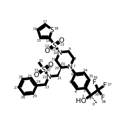 C[C@](O)(c1ccc(N2CCN(S(=O)(=O)c3cccs3)C[C@@H]2CN(Cc2ccccc2)S(C)(=O)=O)cc1)C(F)(F)F